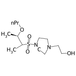 CCCO[C@H](C)C(C)S(=O)(=O)N1CCN(CCO)CC1